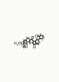 CCCS(=O)(=O)Nc1c(F)ccc(C(=O)c2c[nH]c3ncc(-c4ccccc4Cl)cc23)c1F